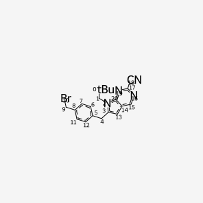 CC(C)(C)Cn1c(Cc2ccc(CBr)cc2)cc2cnc(C#N)nc21